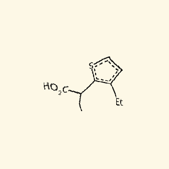 CCc1ccsc1C(C)C(=O)O